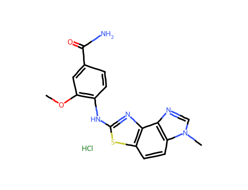 COc1cc(C(N)=O)ccc1Nc1nc2c(ccc3c2ncn3C)s1.Cl